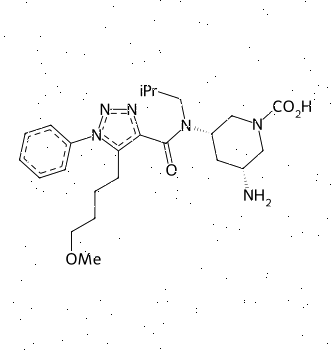 COCCCCc1c(C(=O)N(CC(C)C)[C@H]2C[C@@H](N)CN(C(=O)O)C2)nnn1-c1ccccc1